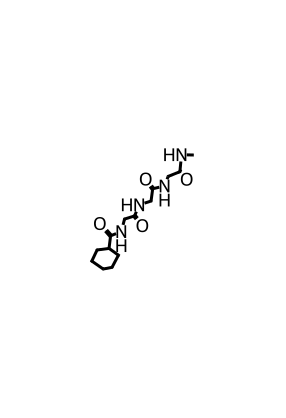 CNC(=O)CNC(=O)CNC(=O)CNC(=O)C1CCCCC1